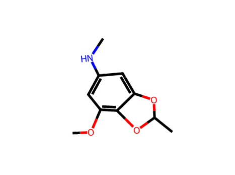 CNc1cc(OC)c2c(c1)OC(C)O2